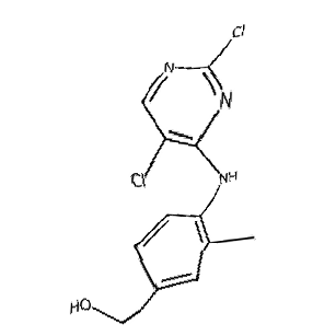 Cc1cc(CO)ccc1Nc1nc(Cl)ncc1Cl